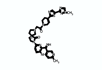 Cc1ccc(C(=N)c2nc(N3CC[C@]4(CCN(CC(=O)N5CC=C(c6ncc(-c7ncn(C)n7)s6)CC5)C4)C3=O)ccc2N)cn1